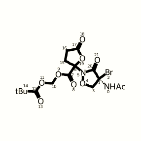 CC(=O)N[C@]1(Br)CON(C2(C(=O)OCOC(=O)C(C)(C)C)CCC(=O)O2)C1=O